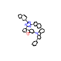 C1=CC(c2nc(-c3ccc4ccccc4c3)nc(-c3cccc4oc5cc(-n6c7ccccc7c7ccc(-c8ccccc8)cc76)ccc5c34)n2)Cc2ccccc21